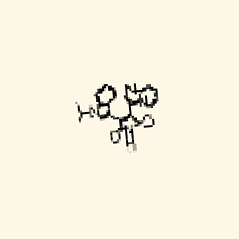 CC(C)n1cc(C2=C(c3cnc4ccccn34)C(=O)NC2=O)c2ccccc21